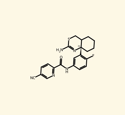 N#Cc1ccc(C(=O)Nc2ccc(F)c([C@]34CCCCC3CSC(N)=N4)c2)nc1